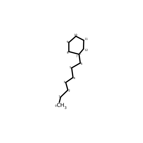 CCCCCCC[C]1CCCCC1